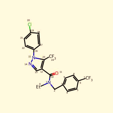 CCN(Cc1ccc(C(F)(F)F)cc1)C(=O)c1cnn(-c2ccc(Cl)cc2)c1C(F)(F)F